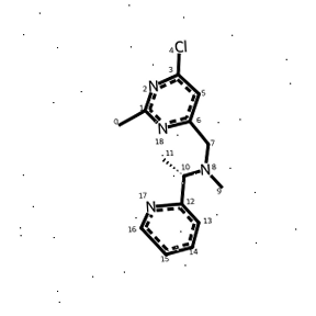 Cc1nc(Cl)cc(CN(C)[C@@H](C)c2ccccn2)n1